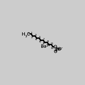 CCCCCCCCCCCCCOP([O-])[O-].[Ba+2]